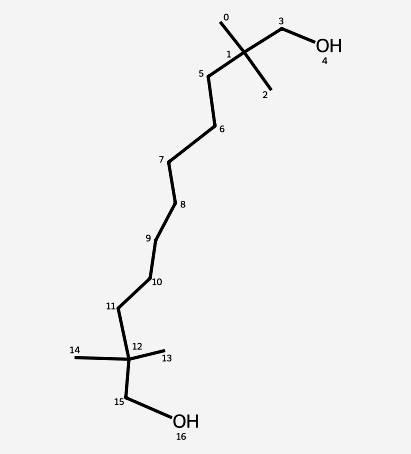 CC(C)(CO)CCCCCCCC(C)(C)CO